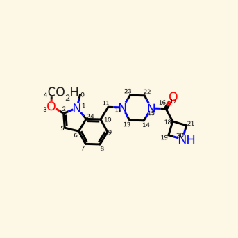 Cn1c(OC(=O)O)cc2cccc(CN3CCN(C(=O)C4CNC4)CC3)c21